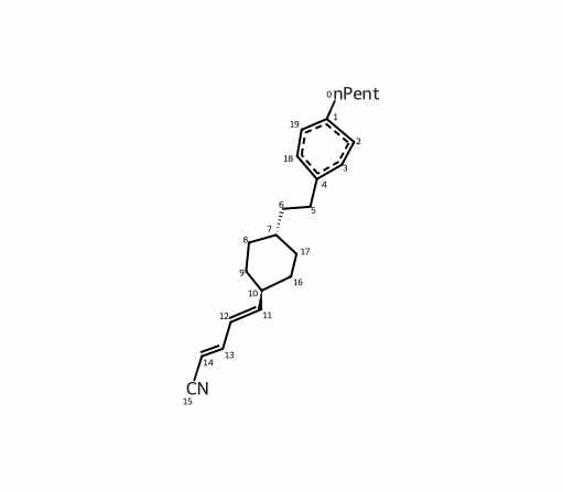 CCCCCc1ccc(CC[C@H]2CC[C@H](/C=C/C=C/C#N)CC2)cc1